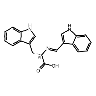 O=C(O)[C@H](Cc1c[nH]c2ccccc12)N=Cc1c[nH]c2ccccc12